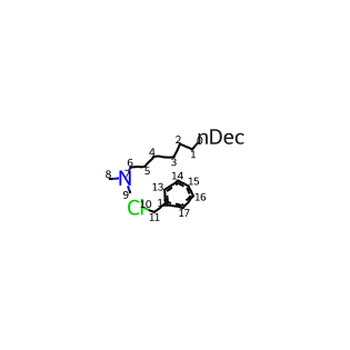 CCCCCCCCCCCCCCCCN(C)C.ClCc1ccccc1